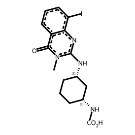 Cn1c(N[C@H]2CCC[C@@H](NC(=O)O)C2)nc2c(I)cccc2c1=O